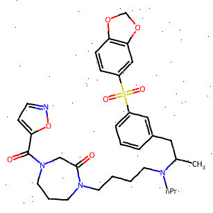 CCCN(CCCCN1CCCN(C(=O)c2ccno2)CC1=O)C(C)Cc1cccc(S(=O)(=O)c2ccc3c(c2)OCO3)c1